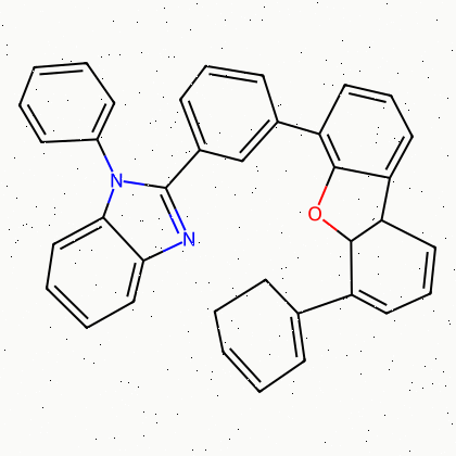 C1=CCCC(C2=CC=CC3c4cccc(-c5cccc(-c6nc7ccccc7n6-c6ccccc6)c5)c4OC23)=C1